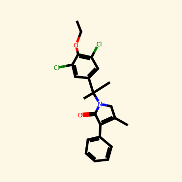 CCOc1c(Cl)cc(C(C)(C)N2CC(C)=C(c3ccccc3)C2=O)cc1Cl